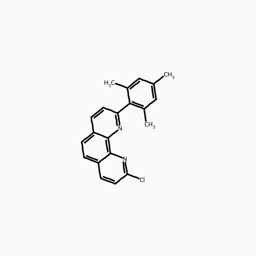 Cc1cc(C)c(-c2ccc3ccc4ccc(Cl)nc4c3n2)c(C)c1